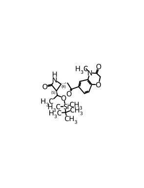 CC(O[Si](C)(C)C(C)(C)C)[C@H]1C(=O)N[C@@H]1CC(=O)c1ccc2c(c1)N(C)C(=O)CO2